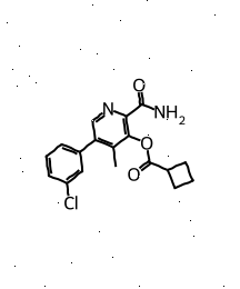 Cc1c(-c2cccc(Cl)c2)cnc(C(N)=O)c1OC(=O)C1CCC1